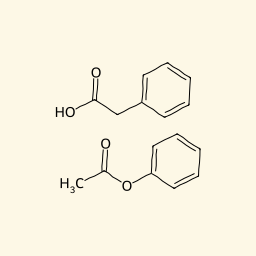 CC(=O)Oc1ccccc1.O=C(O)Cc1ccccc1